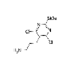 CSc1nc(Cl)c(CCCN)c(Cl)n1